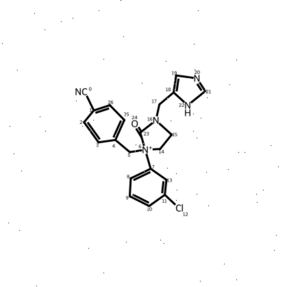 N#Cc1ccc(C[N+]2(c3cccc(Cl)c3)CCN(Cc3cnc[nH]3)C2=O)cc1